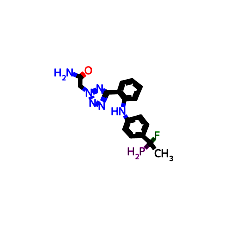 CC(F)(P)c1ccc(Nc2ccccc2-c2nnn(CC(N)=O)n2)cc1